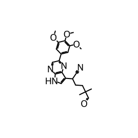 COc1cc(-c2cnc3[nH]cc(C(C#N)CCC(C)(C)C=O)c3n2)cc(OC)c1OC